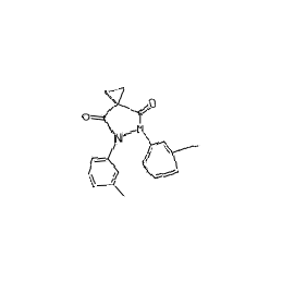 Cc1cccc(N2C(=O)C3(CC3)C(=O)N2c2cccc(C)c2)c1